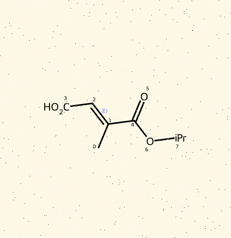 C/C(=C\C(=O)O)C(=O)OC(C)C